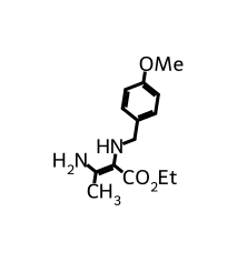 CCOC(=O)/C(NCc1ccc(OC)cc1)=C(\C)N